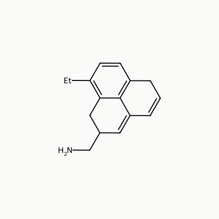 CCc1ccc2c3c1CC(CN)C=C3C=CC2